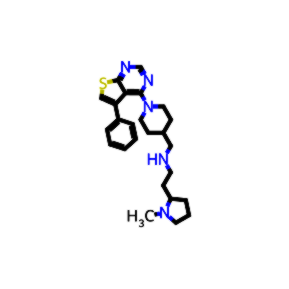 CN1CCCC1CCNCC1CCN(c2ncnc3scc(-c4ccccc4)c23)CC1